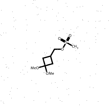 COC1(OC)CC(COS(C)(=O)=O)C1